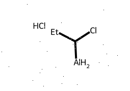 CC[CH]([AlH2])Cl.Cl